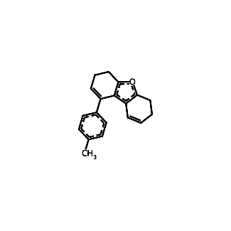 Cc1ccc(C2=CCCc3oc4c(c32)C=CCC4)cc1